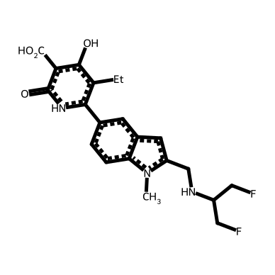 CCc1c(-c2ccc3c(c2)cc(CNC(CF)CF)n3C)[nH]c(=O)c(C(=O)O)c1O